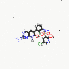 COc1ncc(Cl)cc1S(=O)(=O)Nc1cccc(-c2cc3cnc(N)nc3n(C)c2=O)c1F